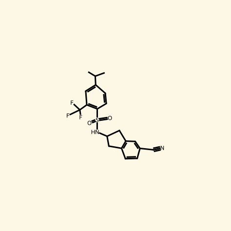 CC(C)c1ccc(S(=O)(=O)NC2Cc3ccc(C#N)cc3C2)c(C(F)(F)F)c1